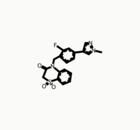 Cn1cc(-c2ccc(CN3C(=O)CS(=O)(=O)c4ccccc43)c(F)c2)cn1